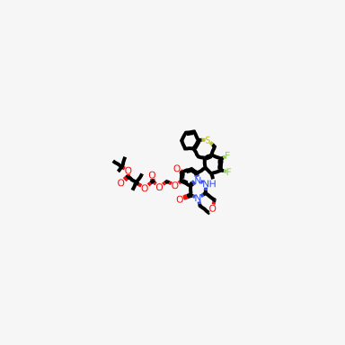 CC1C(F)=C(F)C2=C(CC3=C(C=CCC3)SC2)C1c1cc(=O)c(OCOC(=O)OC(C)(C)C(=O)OC(C)(C)C)c2n1NC1COCCN1C2=O